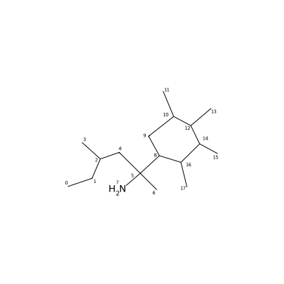 CCC(C)CC(C)(N)C1CC(C)C(C)C(C)C1C